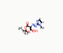 CCC1(CC(C)C)OC(=O)C(N=Nc2nccn2C(C)=O)=C(O)O1